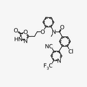 CN(C(=O)c1ccc(Cl)c(-c2cnc(C(F)(F)F)cc2C#N)c1)c1ccccc1OCCc1n[nH]c(=O)o1